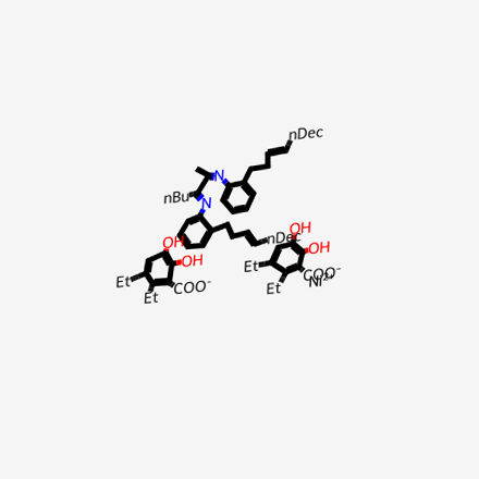 CCCCCCCCCCC=CCCc1ccccc1N=C(C)C(CCCC)=Nc1ccccc1CCC=CCCCCCCCCCC.CCc1cc(O)c(O)c(C(=O)[O-])c1CC.CCc1cc(O)c(O)c(C(=O)[O-])c1CC.[Ni+2]